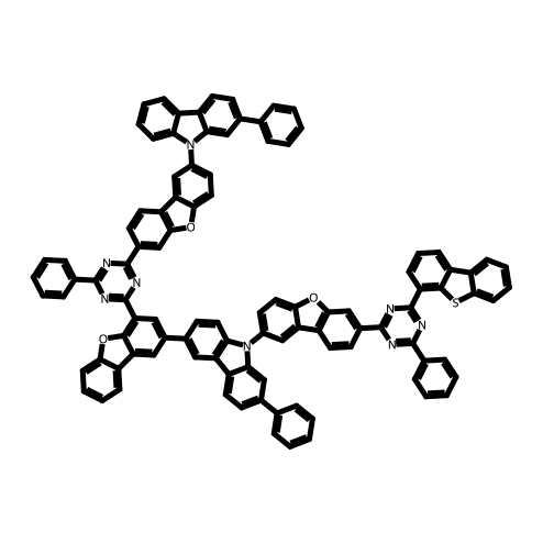 c1ccc(-c2ccc3c4ccccc4n(-c4ccc5oc6cc(-c7nc(-c8ccccc8)nc(-c8cc(-c9ccc%10c(c9)c9ccc(-c%11ccccc%11)cc9n%10-c9ccc%10oc%11cc(-c%12nc(-c%13ccccc%13)nc(-c%13cccc%14c%13sc%13ccccc%13%14)n%12)ccc%11c%10c9)cc9c8oc8ccccc89)n7)ccc6c5c4)c3c2)cc1